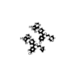 Clc1ccc(C(OCCN2CCOCC2)C2CCN(c3ncnc4[nH]nc(Br)c34)CC2)cc1.Fc1cc(C(OCCN2CCCC2)C2CCN(c3ncnc4[nH]nc(Br)c34)CC2)ccc1Cl